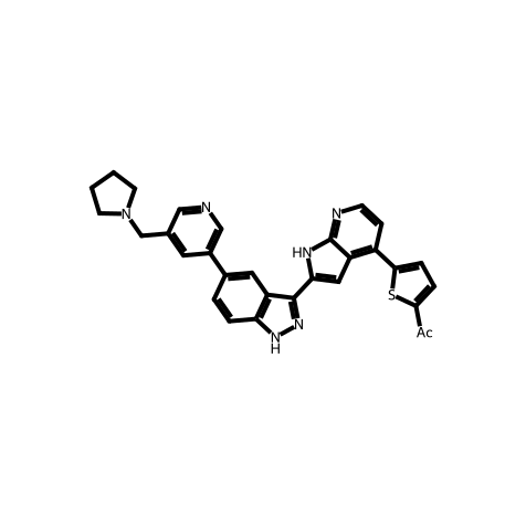 CC(=O)c1ccc(-c2ccnc3[nH]c(-c4n[nH]c5ccc(-c6cncc(CN7CCCC7)c6)cc45)cc23)s1